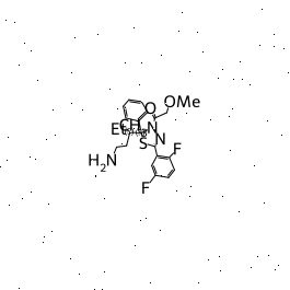 CC[C@@H](CCN)[C@@]1(c2ccccc2C)SC(c2cc(F)ccc2F)=NN1C(=O)COC